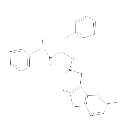 CCN(C(=O)[C@H](Cc1ccccc1)NC(=O)Cc1c(C)[nH]c2ccc(Cl)cc12)c1ccccc1